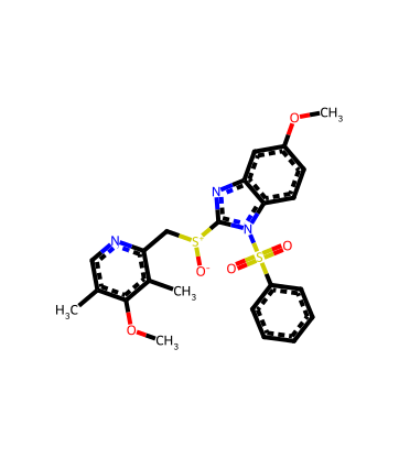 COc1ccc2c(c1)nc([S+]([O-])Cc1ncc(C)c(OC)c1C)n2S(=O)(=O)c1ccccc1